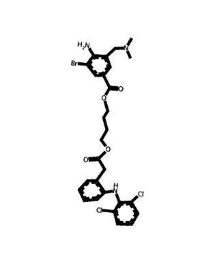 CN(C)Cc1cc(C(=O)OCCCCOC(=O)Cc2ccccc2Nc2c(Cl)cccc2Cl)cc(Br)c1N